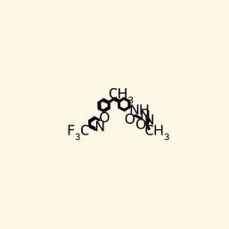 CC(=C1CCC(NC(=O)c2nnc(C)o2)CC1)c1cccc(Oc2ccc(C(F)(F)F)cn2)c1